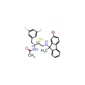 CC(=O)N[C@@H](Cc1cc(F)cc(F)c1)[C@@H](S)CNC1(C)c2ccccc2-c2ccc(Br)cc21